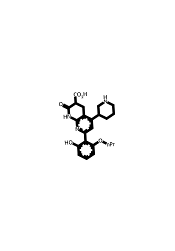 CCCOc1cccc(O)c1-c1cc(C2CCCNC2)c2c(n1)NC(=O)C(C(=O)O)C2